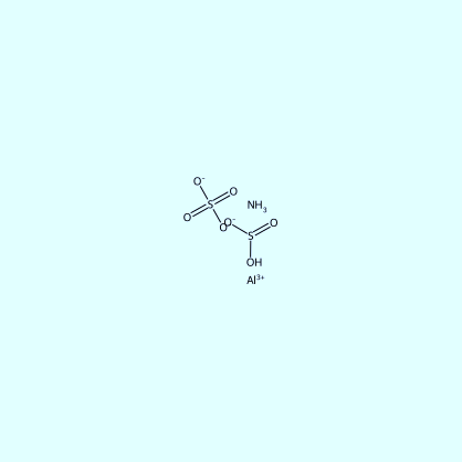 N.O=S(=O)([O-])[O-].O=S([O-])O.[Al+3]